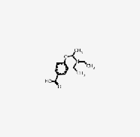 CCN(CC)C(C)Oc1ccc(C(=O)O)cc1